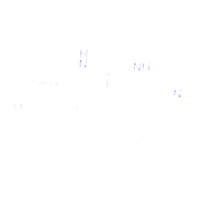 CC(=O)C1CC2c3cccnc3NC2N1